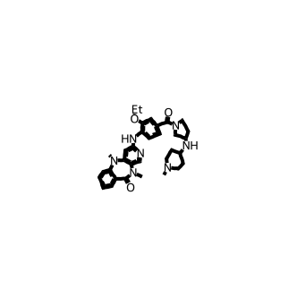 CCOc1cc(C(=O)N2CCC(NC3CCN(C)CC3)C2)ccc1Nc1cc2c(cn1)N(C)C(=O)c1ccccc1N2C